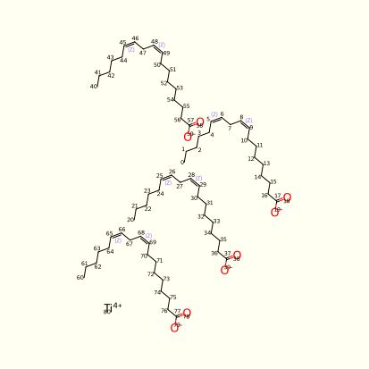 CCCCC/C=C\C/C=C\CCCCCCCC(=O)[O-].CCCCC/C=C\C/C=C\CCCCCCCC(=O)[O-].CCCCC/C=C\C/C=C\CCCCCCCC(=O)[O-].CCCCC/C=C\C/C=C\CCCCCCCC(=O)[O-].[Ti+4]